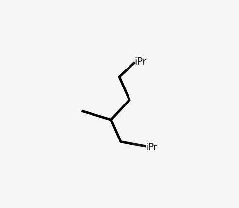 [CH2]C(C)CC(C)CCC(C)C